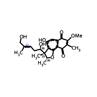 COC1=C(C)C(=O)c2c(cc(O)c3c2O[C@H](C)[C@]3(C)[C@H](O)C/C=C(\C)CO)C1=O